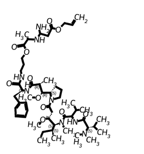 C=CCOC(=O)CC(N)NC(C)C(=O)OCCCNC(=O)[C@H](Cc1ccccc1)NC(=O)[C@H](C)[C@@H](OC)[C@@H]1CCCN1C(=O)C[C@@H](OC)[C@H]([C@@H](C)CC)N(C)C(=O)C(NC(=O)[C@H](C(C)C)N(C)C)C(C)C